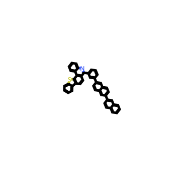 c1cc(-c2ccc3cc(-c4ccc5ccccc5c4)ccc3c2)cc(-c2nc3ccccc3c3c2ccc2c4ccccc4sc23)c1